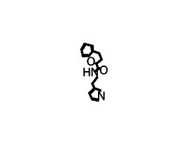 O=C(NCCc1cccnc1)C1CCc2ccccc2O1